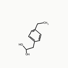 CCc1ccc(CC(O)O)cc1